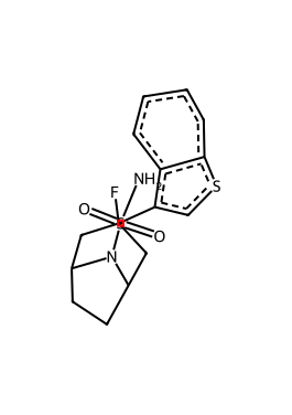 NS(=O)(=O)N1C2CCC1CC(F)(c1csc3ccccc13)C2